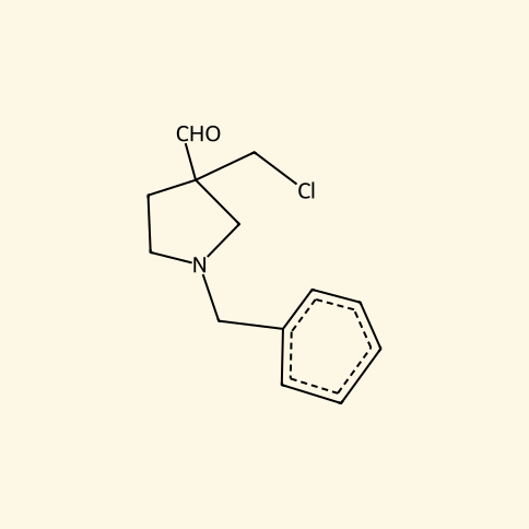 O=CC1(CCl)CCN(Cc2ccccc2)C1